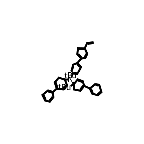 C=Cc1ccc(-c2ccc(N(C3(C(C)(C)C)C=CC(c4ccccc4)=CC3)C3(C(C)(C)C)C=CC(c4ccccc4)=CC3)cc2)cc1